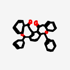 O=C(c1ccccc1)c1ccc(C(=O)c2ccccc2)c(C(=O)c2ccccc2)c1C(=O)c1ccccc1